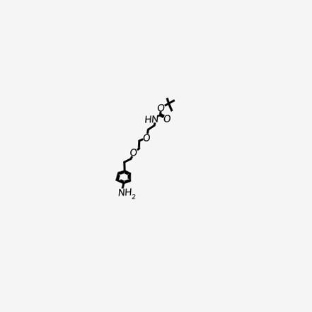 CC(C)(C)OC(=O)NCCOCCOCCc1ccc(N)cc1